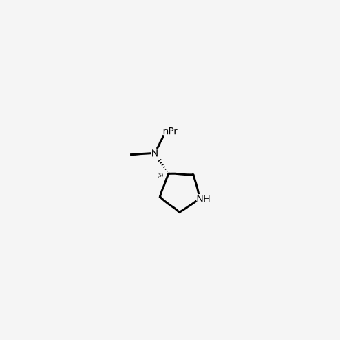 CCCN(C)[C@H]1CCNC1